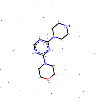 c1nc(N2CCNCC2)nc(N2CCOCC2)n1